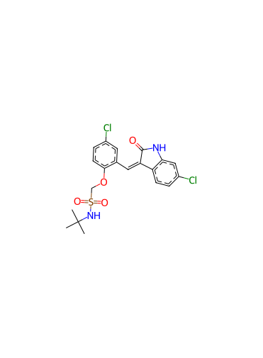 CC(C)(C)NS(=O)(=O)COc1ccc(Cl)cc1C=C1C(=O)Nc2cc(Cl)ccc21